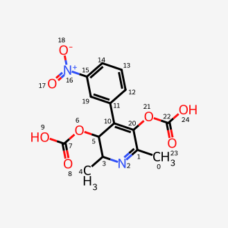 CC1=NC(C)C(OC(=O)O)C(c2cccc([N+](=O)[O-])c2)=C1OC(=O)O